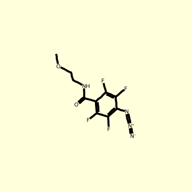 COCCNC(=O)c1c(F)c(F)c(N=[N+]=[N-])c(F)c1F